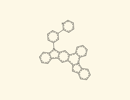 c1ccc(-c2cccc(-n3c4ccccc4c4cc5c(cc43)c3ccccc3n3c4ccccc4cc53)c2)nc1